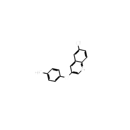 Oc1ccc(Oc2cnc3ccc(Cl)cc3c2)cc1